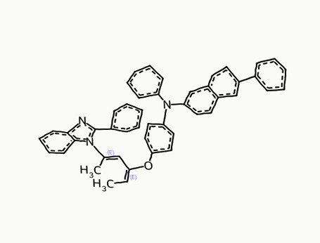 C/C=C(\C=C(/C)n1c(-c2ccccc2)nc2ccccc21)Oc1ccc(N(c2ccccc2)c2ccc3cc(-c4ccccc4)ccc3c2)cc1